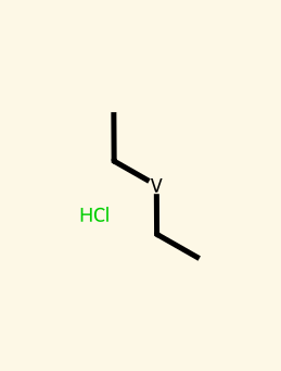 C[CH2][V][CH2]C.Cl